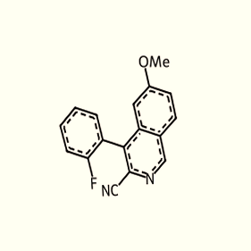 COc1ccc2cnc(C#N)c(-c3ccccc3F)c2c1